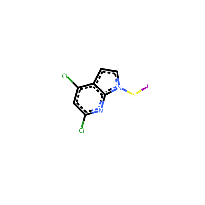 Clc1cc(Cl)c2ccn(SI)c2n1